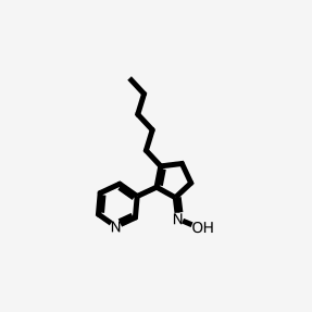 CCCCCC1=C(c2cccnc2)/C(=N/O)CC1